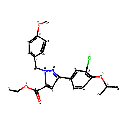 CCOC(=O)c1cc(-c2ccc(OC(C)C)c(Cl)c2)nn1Cc1ccc(OC)cc1